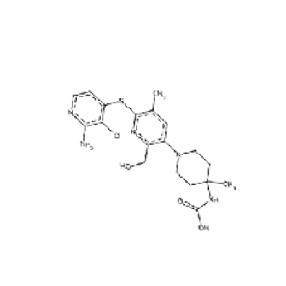 Cc1cc(N2CCC(C)(NC(=O)O)CC2)c(CO)nc1Sc1ccnc(N)c1Cl